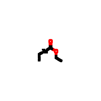 CCO[C](=O)[Zn][CH2]C